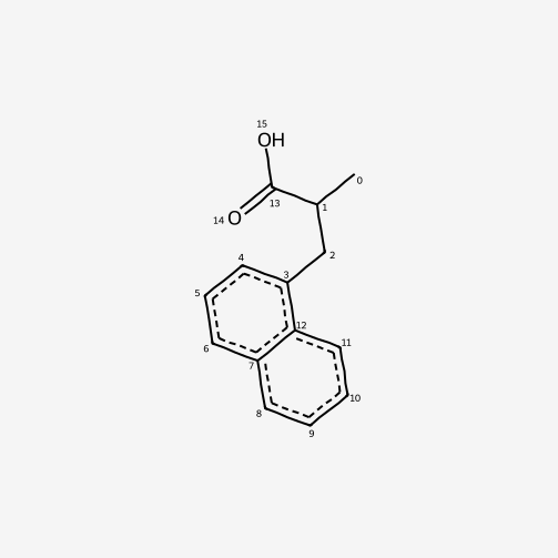 CC(Cc1cccc2ccccc12)C(=O)O